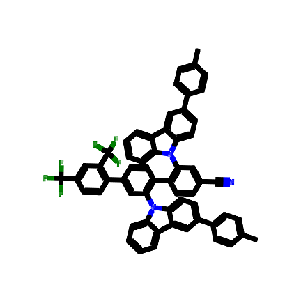 Cc1ccc(-c2ccc3c(c2)c2ccccc2n3-c2cc(C#N)ccc2-c2ccc(-c3ccc(C(F)(F)F)cc3C(F)(F)F)cc2-n2c3ccccc3c3cc(-c4ccc(C)cc4)ccc32)cc1